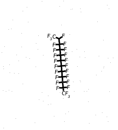 FC(C(F)(F)F)C(F)(F)C(F)(F)C(F)(F)C(F)(F)C(F)(F)C(F)(F)C(F)(F)C(F)(F)C(F)(F)C(F)(F)F